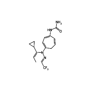 C/C=C(/C1CC1)N(/N=C/C(F)(F)F)C1=CC=C(NC(N)=O)C=CC1